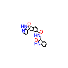 O=C(NCC1C(=O)Nc2ccccc21)c1ccc2c(c1)CC1(C2)C(=O)Nc2ncccc21